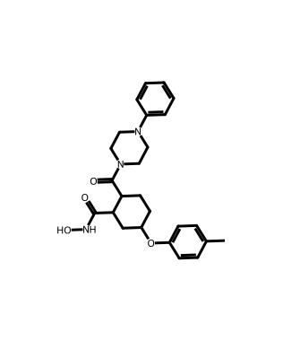 Cc1ccc(OC2CCC(C(=O)N3CCN(c4ccccc4)CC3)C(C(=O)NO)C2)cc1